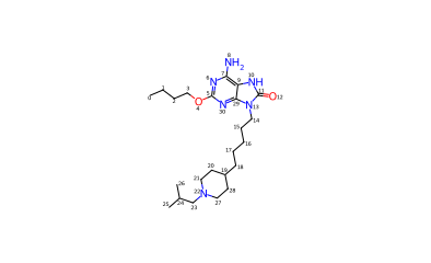 CCCCOc1nc(N)c2[nH]c(=O)n(CCCCCC3CCN(CC(C)C)CC3)c2n1